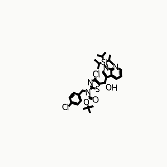 CC(C)[Si](C(C)C)(C(C)C)n1cc(C(O)c2sc(N(Cc3ccc(Cl)cc3)C(=O)OC(C)(C)C)nc2Cl)c2cccnc21